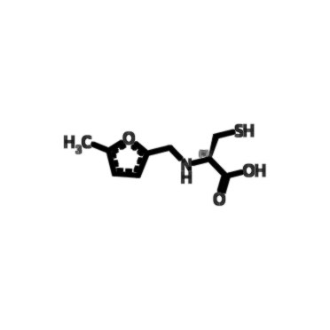 Cc1ccc(CN[C@@H](CS)C(=O)O)o1